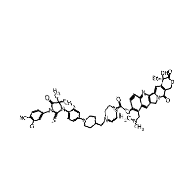 CC[C@@]1(O)C(=O)OCc2c1cc1n(c2=O)Cc2cc3c(CN(C)C)c(OC(=O)N4CCN(CC5CCN(c6ccc(N7C(=S)N(c8ccc(C#N)c(Cl)c8)C(=O)C7(C)C)cc6)CC5)CC4)ccc3nc2-1